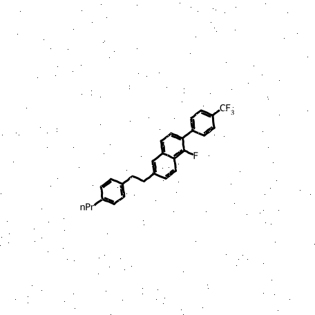 CCCc1ccc(CCc2ccc3c(F)c(-c4ccc(C(F)(F)F)cc4)ccc3c2)cc1